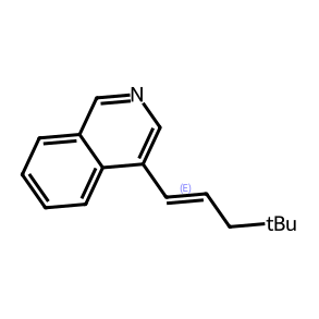 CC(C)(C)C/C=C/c1cncc2ccccc12